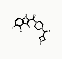 O=C(c1[nH]c2ccc(F)c(Cl)c2c1F)N1CCN(C(=O)C2CNC2)CC1